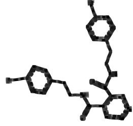 O=C(NCCc1ccc(Br)cc1)c1ccncc1C(=O)NCCc1ccc(Br)cc1